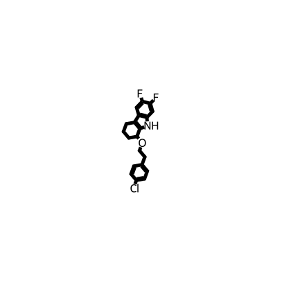 Fc1cc2[nH]c3c(c2cc1F)CCCC3OCCc1ccc(Cl)cc1